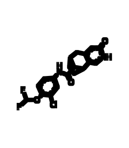 O=C(Nc1ccc(OC(F)F)c(Cl)c1)C1C2CCC1c1c[nH]c(=O)cc1C2